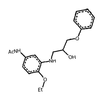 CCOc1ccc(NC(C)=O)cc1NCC(O)COc1ccccc1